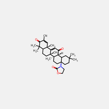 CC1(C)CC[C@]2(N3CCOC3=O)CC[C@]3(C)[C@H](C(=O)C=C4[C@@]5(C)C=C(C#N)C(=O)C(C)(C)C5CC[C@]43C)C2C1